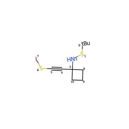 CC(C)(C)SNC1(C#CSI)CCC1